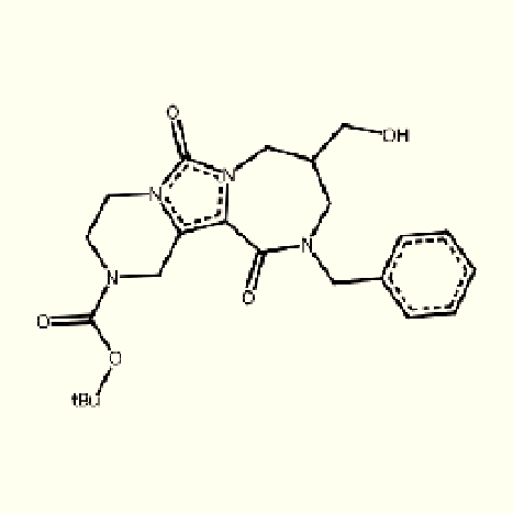 CC(C)(C)OC(=O)N1CCn2c(c3n(c2=O)CC(CO)CN(Cc2ccccc2)C3=O)C1